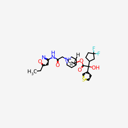 CCc1cc(NC(=O)C[N+]23CCC(CC2)[C@@H](OC(=O)C(O)(c2ccsc2)C2CCC(F)(F)C2)C3)no1